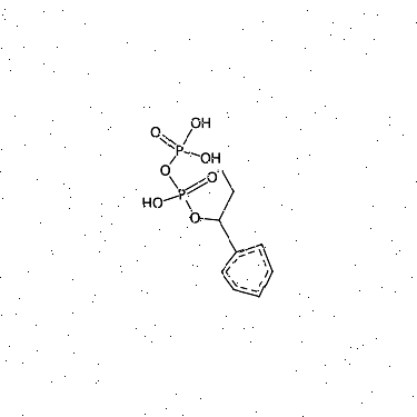 [CH2]CC(OP(=O)(O)OP(=O)(O)O)c1ccccc1